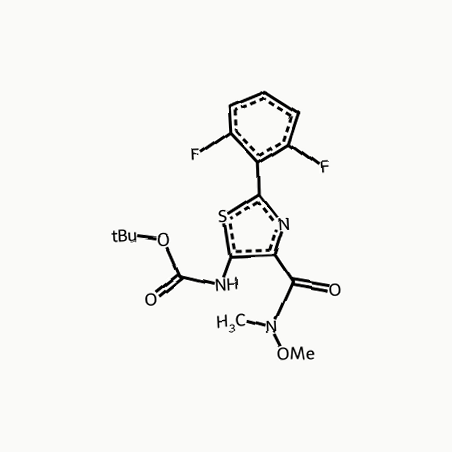 CON(C)C(=O)c1nc(-c2c(F)cccc2F)sc1NC(=O)OC(C)(C)C